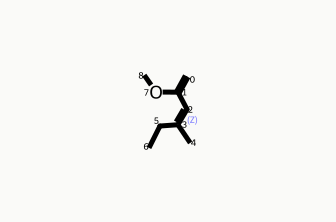 C=C(/C=C(/C)CC)OC